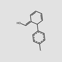 [CH2]c1ccc(C2C=CC=C/C2=C\O)cc1